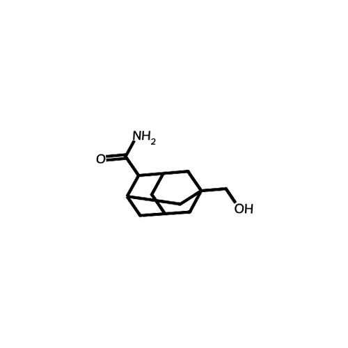 NC(=O)C1C2CC3CC1CC(CO)(C3)C2